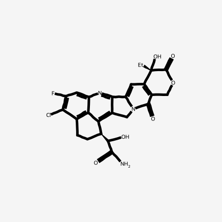 CC[C@@]1(O)C(=O)OCc2c1cc1n(c2=O)Cc2c-1nc1cc(F)c(Cl)c3c1c2[C@@H](C(O)C(N)=O)CC3